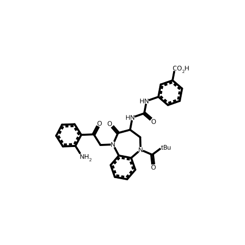 CC(C)(C)C(=O)N1CC(NC(=O)Nc2cccc(C(=O)O)c2)C(=O)N(CC(=O)c2ccccc2N)c2ccccc21